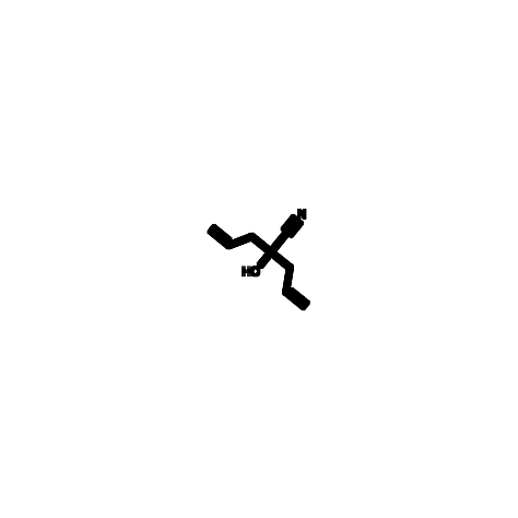 C=CCC(O)(C#N)CC=C